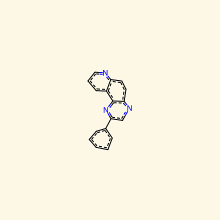 c1ccc(-c2cnc3ccc4ncccc4c3n2)cc1